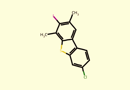 Cc1cc2c(sc3cc(Cl)ccc32)c(C)c1I